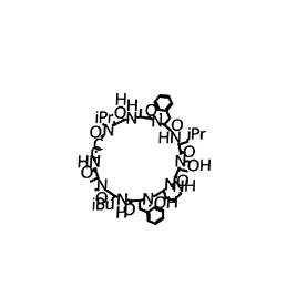 CCC(C)C1NC(=O)C(Cc2ccccc2)N(C)C(O)C2CCCNN2C(=O)C(CO)N(C)C(=O)C(CC(C)C)NC(=O)C(Cc2ccccc2)N(C)C(=O)C(C)NC(O)C(C(C)C)N(C)C(=O)CCNC(=O)C(C)N(C)C1=O